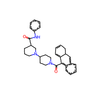 O=C(Nc1ccccc1)C1CCCN(C2CCN(C(=O)C3=c4ccccc4=CC4CC=CC=C34)CC2)C1